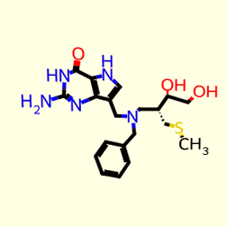 CSC[C@H](CN(Cc1ccccc1)Cc1c[nH]c2c(=O)[nH]c(N)nc12)[C@H](O)CO